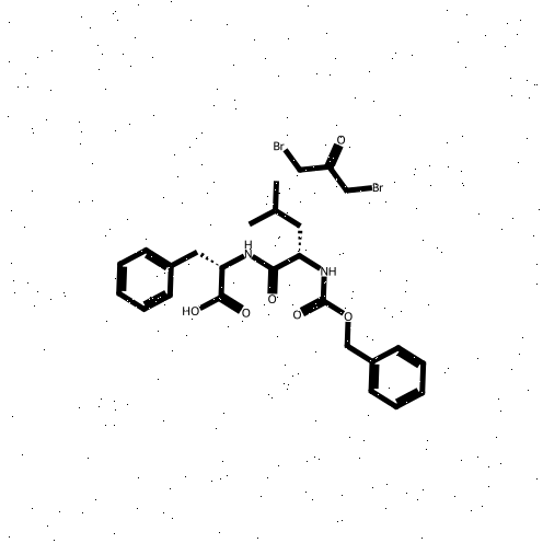 CC(C)C[C@H](NC(=O)OCc1ccccc1)C(=O)N[C@@H](Cc1ccccc1)C(=O)O.O=C(CBr)CBr